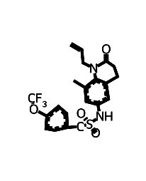 C=CCN1C(=O)CCc2cc(NS(=O)(=O)Cc3ccc(OC(F)(F)F)cc3)cc(C)c21